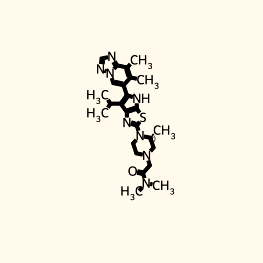 Cc1c(-c2[nH]c3sc(N4CCN(CC(=O)N(C)C)C[C@H]4C)nc3c2C(C)C)cn2ncnc2c1C